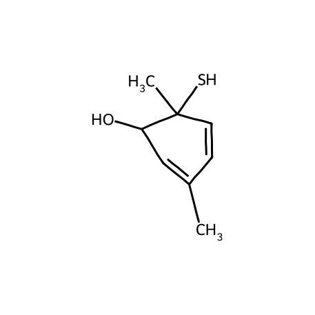 CC1=CC(O)C(C)(S)C=C1